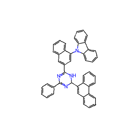 c1ccc(C2=NC(c3cc4ccccc4c4ccccc34)NC(c3cc(-n4c5ccccc5c5ccccc54)c4ccccc4c3)=N2)cc1